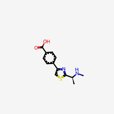 CN[C@@H](C)c1nc(-c2ccc(C(=O)O)cc2)cs1